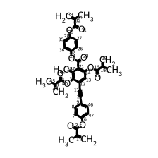 C=C(C)C(=O)Oc1ccc(C#Cc2cc(OC(=O)C(=C)C)c(C(=O)Oc3ccc(OC(=O)C(=C)C)cc3)c(C)c2OC(=O)C(=C)C)cc1